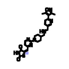 Cc1noc(C)c1-c1ccc(CNCC2CCN(c3nccc(/C=C4/SC(=O)NC4=O)n3)CC2)cn1